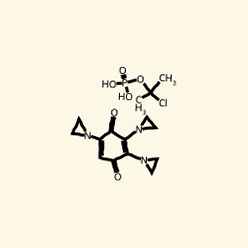 CC(C)(Cl)OP(=O)(O)O.O=C1C=C(N2CC2)C(=O)C(N2CC2)=C1N1CC1